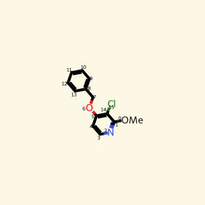 COc1nccc(OCc2ccccc2)c1Cl